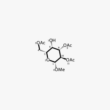 CO[C@@H]1O[C@H](COC(C)=O)[C@H](O)[C@H](OC(C)=O)[C@H]1OC(C)=O